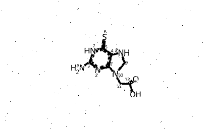 Nc1nc2c(c(=S)[nH]1)NCN2CC(=O)O